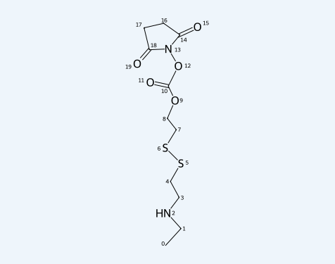 CCNCCSSCCOC(=O)ON1C(=O)CCC1=O